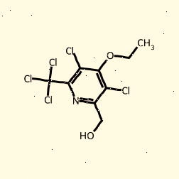 CCOc1c(Cl)c(CO)nc(C(Cl)(Cl)Cl)c1Cl